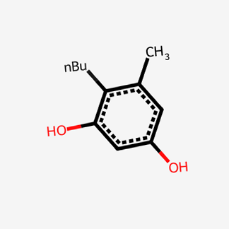 CCCCc1c(C)cc(O)cc1O